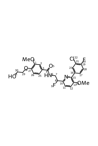 COc1cc(C(=O)NCC(F)c2ccc(OC)c(-c3ccc(F)c(Cl)c3)n2)ccc1OCCO